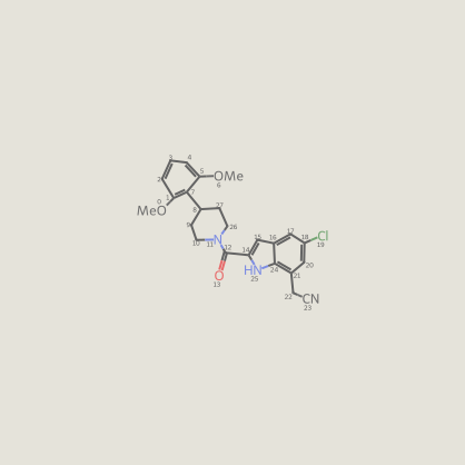 COc1cccc(OC)c1C1CCN(C(=O)c2cc3cc(Cl)cc(CC#N)c3[nH]2)CC1